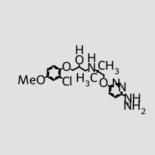 COc1ccc(OCC(O)CNC(C)(C)COc2ccc(NN)nn2)c(Cl)c1